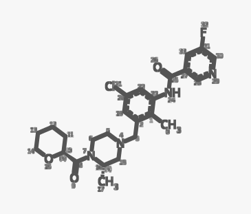 Cc1c(CN2CCN(C(=O)[C@@H]3CCCCO3)[C@@H](C)C2)cc(Cl)cc1NC(=O)c1cncc(F)c1